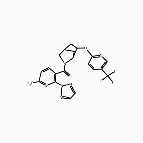 Cc1ccc(C(=O)N2CC3CC(Oc4ccc(C(F)(F)F)cn4)C2C3)c(-n2nccn2)n1